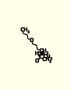 C=C.CC(=O)O.CCCCOCCCC